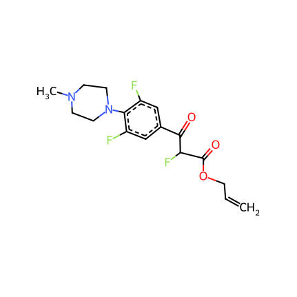 C=CCOC(=O)C(F)C(=O)c1cc(F)c(N2CCN(C)CC2)c(F)c1